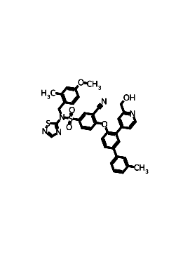 COc1ccc(CN(c2ncns2)S(=O)(=O)c2ccc(Oc3ccc(-c4cccc(C)c4)cc3-c3ccnc(CO)c3)c(C#N)c2)c(C)c1